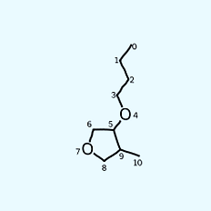 CCCCOC1COCC1C